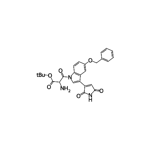 CC(C)(C)OC(=O)C(N)C(=O)n1cc(C2=CC(=O)NC2=O)c2cc(OCc3ccccc3)ccc21